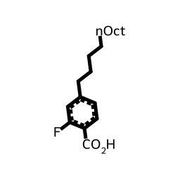 CCCCCCCCCCCCc1ccc(C(=O)O)c(F)c1